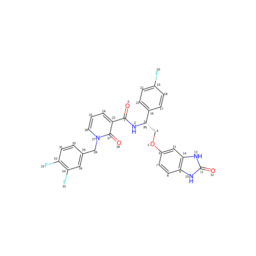 O=C(N[C@@H](COc1ccc2[nH]c(=O)[nH]c2c1)c1ccc(F)cc1)c1cccn(Cc2ccc(F)c(F)c2)c1=O